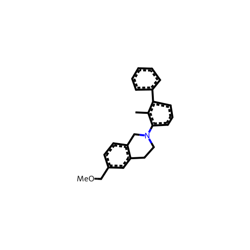 COCc1ccc2c(c1)CCN(c1cccc(-c3ccccc3)c1C)C2